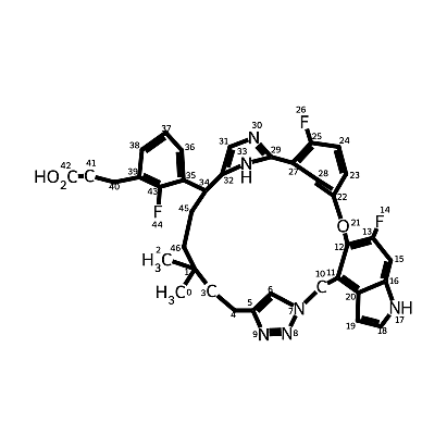 CC1(C)CCc2cn(nn2)Cc2c(c(F)cc3[nH]ccc23)Oc2ccc(F)c(c2)-c2ncc([nH]2)C(c2cccc(CCC(=O)O)c2F)CC1